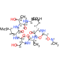 C=NOCC(=O)N[C@@H](CCSC)C(=O)N[C@@H](C)C(=O)N[C@@H](CO)C(=O)N[C@@H](CCSC)C(=O)N[C@H](C(=O)NCC(=O)O)C(C)O